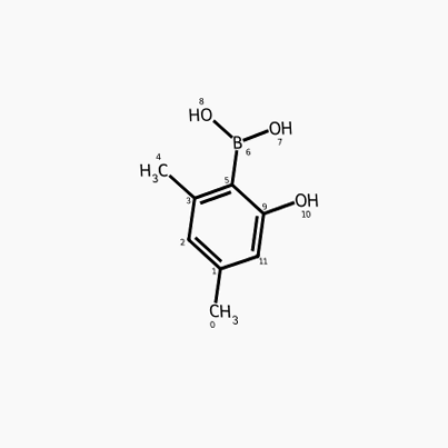 Cc1cc(C)c(B(O)O)c(O)c1